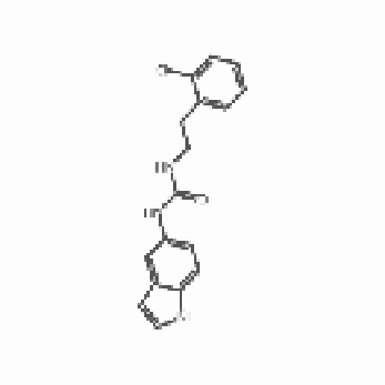 O=C(NCCc1ccccc1Cl)Nc1ccc2[nH]ccc2c1